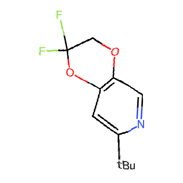 CC(C)(C)c1cc2c(cn1)OCC(F)(F)O2